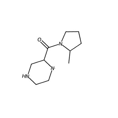 CC1CCCN1C(=O)C1CNCC[N]1